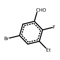 CCc1cc(Br)cc(C=O)c1F